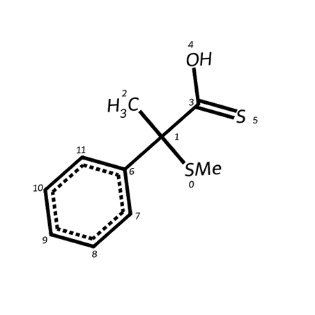 CSC(C)(C(O)=S)c1ccccc1